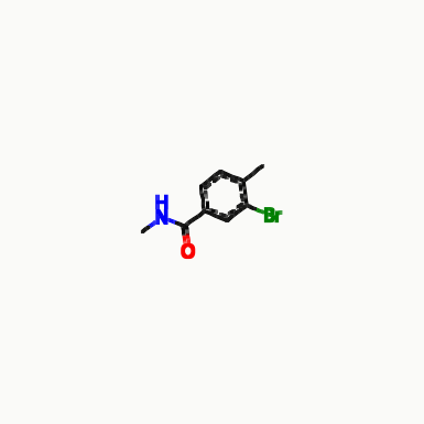 CNC(=O)c1ccc(C)c(Br)c1